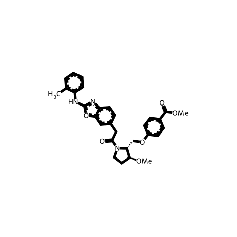 COC(=O)c1ccc(OC[C@@H]2[C@@H](OC)CCN2C(=O)Cc2ccc3nc(Nc4ccccc4C)oc3c2)cc1